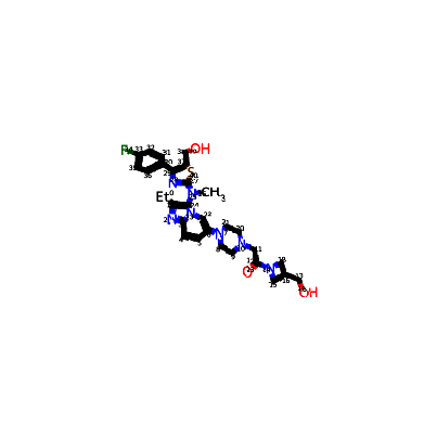 CCc1nc2ccc(N3CCN(CC(=O)N4CC(CO)C4)CC3)cn2c1N(C)c1nc(-c2ccc(F)cc2)c(CO)s1